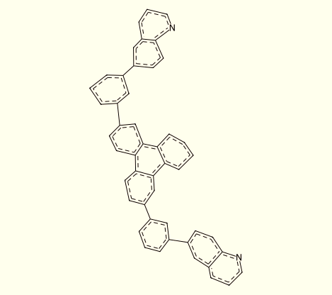 c1cc(-c2ccc3ncccc3c2)cc(-c2ccc3c4ccc(-c5cccc(-c6ccc7ncccc7c6)c5)cc4c4ccccc4c3c2)c1